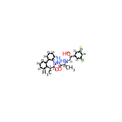 CC1C(=O)N(NC(=O)[C@H](C)NC[C@H](O)c2cc(F)cc(F)c2)c2ccccc2-c2ccccc21